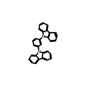 c1ccc2c(c#1)c1ccccc1n2-c1cccc(-n2c3ccccc3c3ccccc32)c1